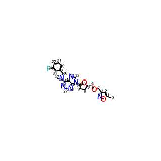 Cc1cc(COC[C@@H]2CC[C@H](n3cnc4c(N(C)Cc5cccc(F)c5)ncnc43)O2)no1